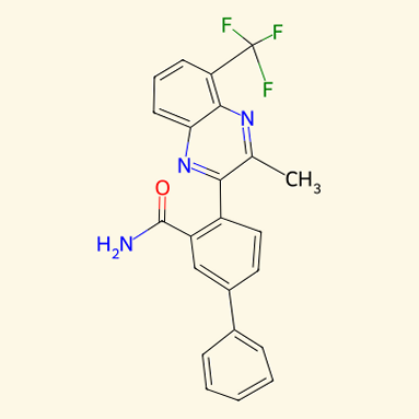 Cc1nc2c(C(F)(F)F)cccc2nc1-c1ccc(-c2ccccc2)cc1C(N)=O